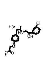 Br.COC(=O)COc1ccc(CC(C)NCC(O)c2cccc(Cl)c2)cc1